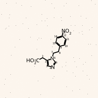 O=C(O)Cc1cncn1CCc1ccc([N+](=O)[O-])cc1